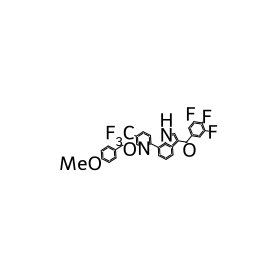 COc1ccc(COc2nc(-c3cccc4c(C(=O)c5cc(F)c(F)c(F)c5)c[nH]c34)ccc2C(F)(F)F)cc1